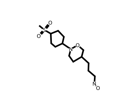 CS(=O)(=O)C1CCC(N2CCC(CCCN=O)CO2)CC1